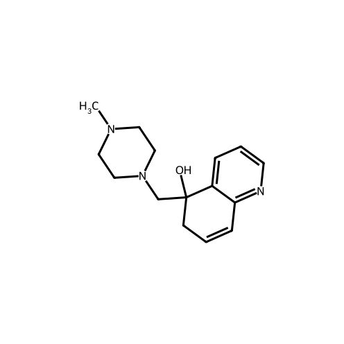 CN1CCN(CC2(O)CC=Cc3ncccc32)CC1